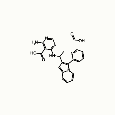 CC(Nc1ncnc(N)c1C(=O)O)c1cc2ccccn2c1-c1ccccn1.O=CO